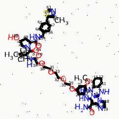 COc1cc(Nc2nc(N[C@H]3CCCC[C@H]3N)n3ccnc3c2C(N)=O)cc(OCCOCCOCCOCC(=O)N[C@H](C(=O)N2C[C@H](O)C[C@H]2C(=O)NCc2ccc(-c3scnc3C)cc2)C(C)(C)C)c1